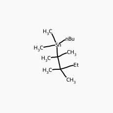 CCC[CH2][Sn]([CH3])([CH3])[C](C)(C)C(C)(C)CC